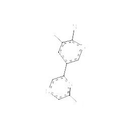 Nc1ncc(-c2cncc(C(F)(F)F)n2)cc1F